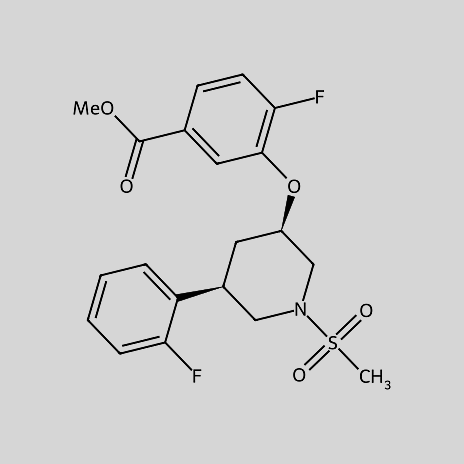 COC(=O)c1ccc(F)c(O[C@@H]2C[C@H](c3ccccc3F)CN(S(C)(=O)=O)C2)c1